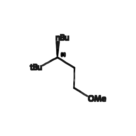 CCCC[C@@H](CCOC)C(C)(C)C